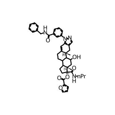 CCCNC(=O)[C@@]1(OC(=O)c2ccco2)CCC2C3CCC4=Cc5c(cnn5-c5cccc(C(=O)NCc6ccccc6)c5)C[C@]4(C)C3C(O)C[C@@]21C